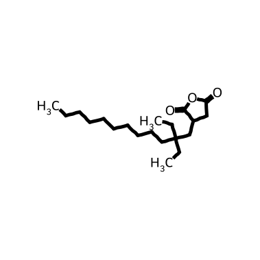 CCCCCCCCCCC(CC)(CC)CC1CC(=O)OC1=O